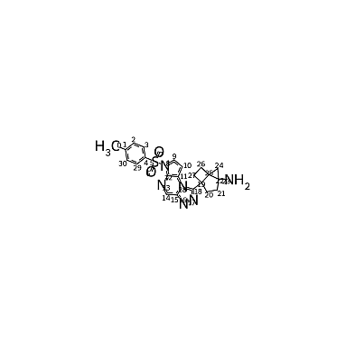 Cc1ccc(S(=O)(=O)n2ccc3c2ncc2nnc(C45CCC6(N)CC64CC5)n23)cc1